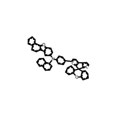 c1ccc2c(c1)Oc1ccccc1C21c2ccccc2-c2ccc(-c3ccc(N(c4ccc5oc6c7ccccc7ccc6c5c4)c4cccc5ccccc45)cc3)cc21